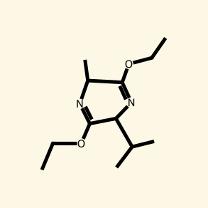 CCOC1=NC(C(C)C)C(OCC)=NC1C